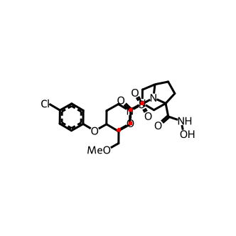 COCCOC(=O)N1CC2CCC(C(=O)NO)(C1)N2S(=O)(=O)N1CCC(Oc2ccc(Cl)cc2)CC1